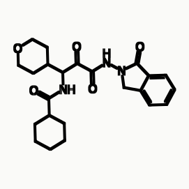 O=C(NN1Cc2ccccc2C1=O)C(=O)C(NC(=O)C1CCCCC1)C1CCOCC1